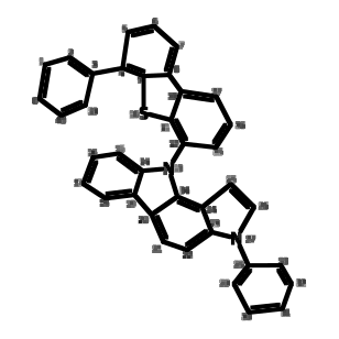 c1ccc(-c2cccc3c2sc2c(-n4c5ccccc5c5ccc6c(ccn6-c6ccccc6)c54)cccc23)cc1